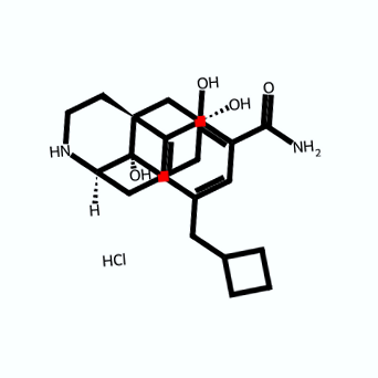 Cl.NC(=O)c1cc(CC2CCC2)c2c(c1O)[C@]13CCN[C@H](C2)[C@]1(O)CC[C@@H](O)C3